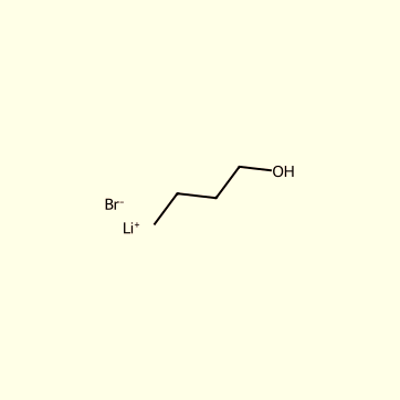 CCCCO.[Br-].[Li+]